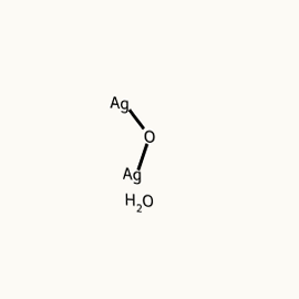 O.[Ag][O][Ag]